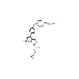 OCCN1CCC(Cc2ccc(-c3c[nH]c4nc(NCCC5CC5)ncc34)cc2)CC1